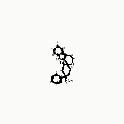 CNC1(c2ccccc2)CCC2(OCCc3c2[nH]c2ccc(F)cc32)C(F)C1